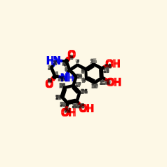 O=C1CNC(=O)C(Cc2ccc(O)c(O)c2)(Cc2ccc(O)c(O)c2)N1